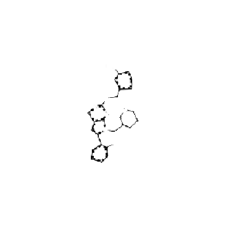 Oc1cccc(CNc2ncc3cc(-c4ccccc4Cl)n(CC4CCCNC4)c3n2)c1